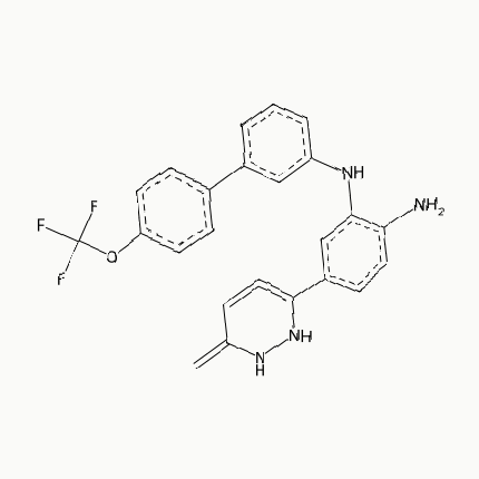 C=C1C=C=C(c2ccc(N)c(Nc3cccc(-c4ccc(OC(F)(F)F)cc4)c3)c2)NN1